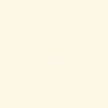 C=CC(=O)N1CCC(=O)c2cc(Cl)ccc21